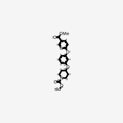 COC(=O)c1ccc(Oc2cccc(OC3CCN(C(=O)OC(C)(C)C)CC3)c2)nc1